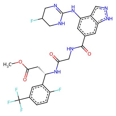 COC(=O)C[C@H](NC(=O)CNC(=O)c1cc(NC2=NCC(F)CN2)c2cn[nH]c2c1)c1cc(C(F)(F)F)ccc1F